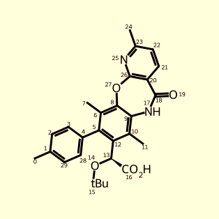 Cc1ccc(-c2c(C)c3c(c(C)c2[C@H](OC(C)(C)C)C(=O)O)NC(=O)c2ccc(C)nc2O3)cc1